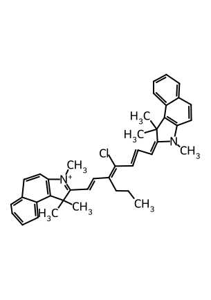 CCCC(/C=C/C1=[N+](C)c2ccc3ccccc3c2C1(C)C)=C(Cl)\C=C\C=C1\N(C)c2ccc3ccccc3c2C1(C)C